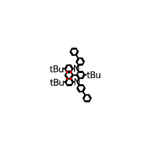 CC(C)(C)c1ccc(N(c2ccc(-c3ccccc3)cc2)c2cc(C(C)(C)C)cc(N(c3ccc(C(C)(C)C)cc3)c3cccc(-c4ccccc4)c3)c2-c2ccccc2)cc1